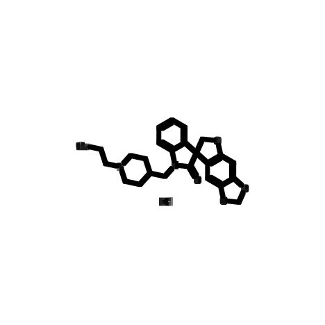 CC(C)(C)CCN1CCC(CN2C(=O)C3(COc4cc5c(cc43)OCO5)c3ccccc32)CC1.Cl